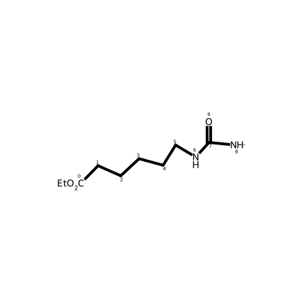 CCOC(=O)CCCCCNC([NH])=O